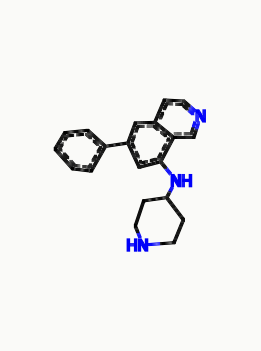 c1ccc(-c2cc(NC3CCNCC3)c3cnccc3c2)cc1